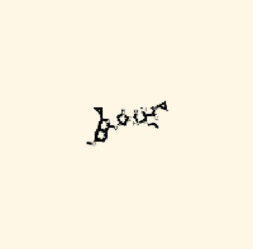 CCC[C@H](NC(=O)[C@@H]1C[C@@H](Oc2nc(C3CC3)cc3cc(OC)ccc23)CN1)C(O)C(=O)NC1CC1